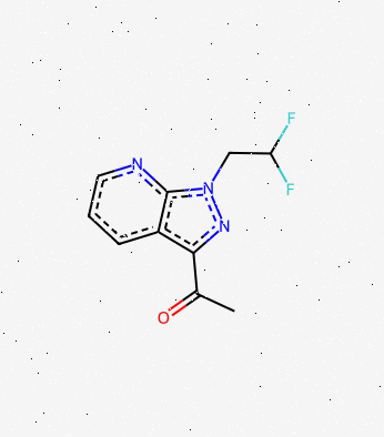 CC(=O)c1nn(CC(F)F)c2ncccc12